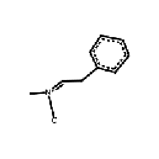 C/[N+]([O-])=C/Cc1ccccc1